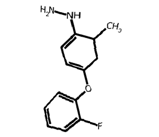 CC1CC(Oc2ccccc2F)=CC=C1NN